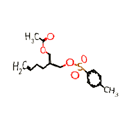 C=CCCC(COC(C)=O)COS(=O)(=O)c1ccc(C)cc1